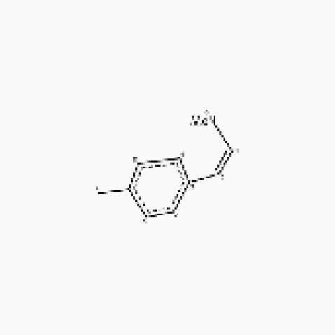 CN/C=C\c1ccc(C)cc1